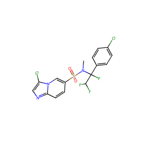 CN(C(F)(c1ccc(Cl)cc1)C(F)F)S(=O)(=O)c1ccc2ncc(Cl)n2c1